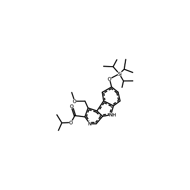 COCc1c(C(=O)OC(C)C)ncc2[nH]c3ccc(O[Si](C(C)C)(C(C)C)C(C)C)cc3c12